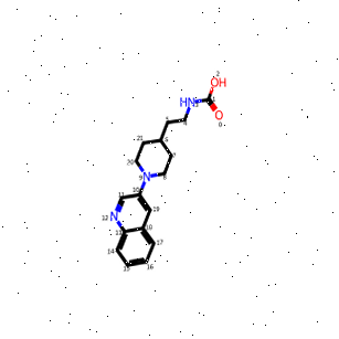 O=C(O)NCCC1CCN(c2cnc3ccccc3c2)CC1